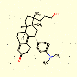 CN(C)c1ccc([C@H]2C[C@@]3(C)[C@@H](CC[C@@]3(CCCO)[N+](=O)[O-])[C@@H]3CCC4=CC(=O)CCC4=C32)cc1